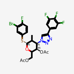 CC(=O)OCC1O[C@H](Sc2ccc(F)c(Br)c2)C(C)[C@@H](n2cc(-c3cc(F)c(F)c(F)c3)nn2)[C@H]1OC(C)=O